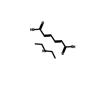 CCNCC.O=C(O)C=CC=CC(=O)O